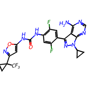 Nc1ncnc2c1c(-c1cc(F)c(NC(=O)Nc3cc(C4(C(F)(F)F)CC4)no3)cc1F)nn2C1CC1